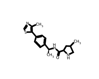 Cc1ncsc1-c1ccc([C@H](C)NC(=O)C2CC(C)CN2)cc1